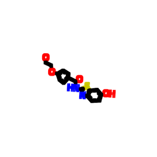 O=CCOc1ccc(C(=O)Nc2nc3ccc(O)cc3s2)cc1